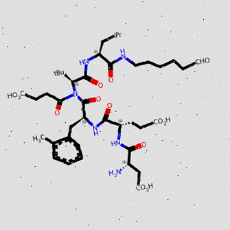 Cc1ccccc1C[C@H](NC(=O)[C@H](CCC(=O)O)NC(=O)[C@@H](N)CC(=O)O)C(=O)N(C(=O)CCC(=O)O)[C@H](C(=O)N[C@@H](CC(C)C)C(=O)NCCCCCC=O)C(C)(C)C